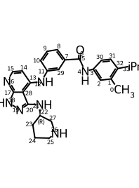 Cc1cc(NC(=O)c2cccc(Nc3ccnc4[nH]nc(N[C@@H]5CCCNC5)c34)c2)ccc1C(C)C